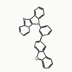 c1cc(-c2ccc3oc4ccccc4c3c2)cc(-n2c3ccccc3c3nc4ccccn4c32)c1